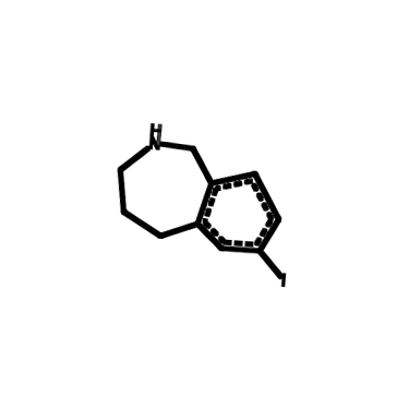 Ic1ccc2c(c1)CCCNC2